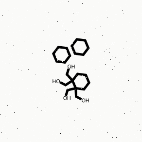 C1CCCCC1.C1CCCCC1.OCC1(CO)CCCCC1(CO)CO